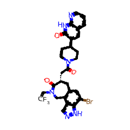 O=C(C[C@@H]1Cc2cc(Br)c3[nH]ncc3c2CN(CC(F)(F)F)C1=O)N1CCC(c2cc3cccnc3[nH]c2=O)CC1